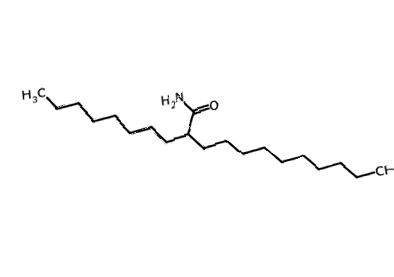 CCCCCCCCCCC(CCCCCCCC)C(N)=O